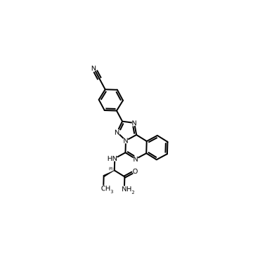 CC[C@@H](Nc1nc2ccccc2c2nc(-c3ccc(C#N)cc3)nn12)C(N)=O